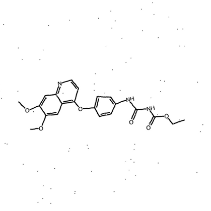 CCOC(=O)NC(=O)Nc1ccc(Oc2ccnc3cc(OC)c(OC)cc23)cc1